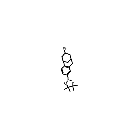 CCC1CC2Cc3cc(B4OC(C)(C)C(C)(C)O4)ccc3C(C1)C2